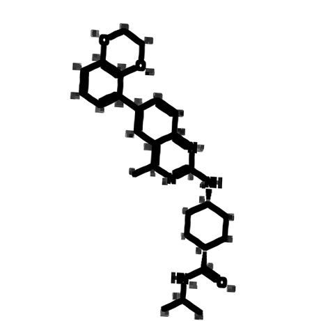 Cc1nc(N[C@H]2CC[C@@H](C(=O)NC(C)C)CC2)nc2ccc(-c3cccc4c3OCCO4)cc12